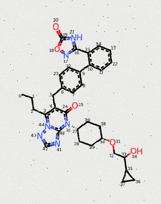 CCCc1c(Cc2ccc(-c3ccccc3-c3noc(=O)[nH]3)cc2)c(=O)n([C@H]2CC[C@H](OCC(O)C3CC3)CC2)c2ncnn12